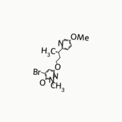 COc1ccc([C@H](C)CCOc2cc(Br)c(=O)n(C)n2)nc1